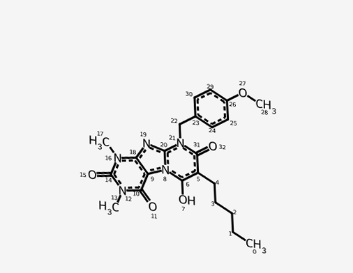 CCCCCc1c(O)n2c3c(=O)n(C)c(=O)n(C)c3nc2n(Cc2ccc(OC)cc2)c1=O